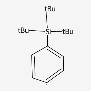 CC(C)(C)[Si](c1cc[c]cc1)(C(C)(C)C)C(C)(C)C